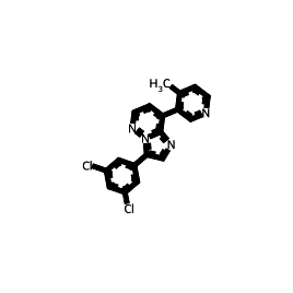 Cc1ccncc1-c1ccnn2c(-c3cc(Cl)cc(Cl)c3)cnc12